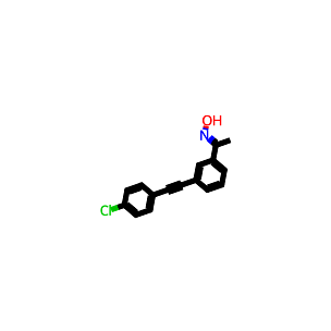 CC(=NO)c1cccc(C#Cc2ccc(Cl)cc2)c1